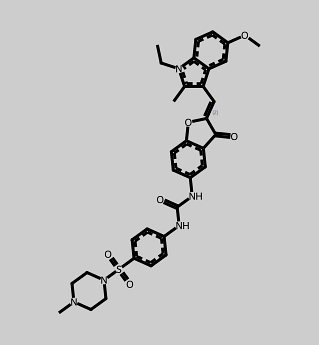 CCn1c(C)c(/C=C2\Oc3ccc(NC(=O)Nc4ccc(S(=O)(=O)N5CCN(C)CC5)cc4)cc3C2=O)c2cc(OC)ccc21